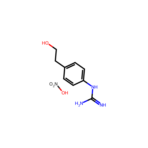 N=C(N)Nc1ccc(CCO)cc1.O=[N+]([O-])O